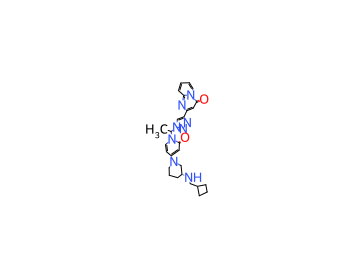 CC(n1cc(-c2cc(=O)n3ccccc3n2)nn1)n1ccc(N2CCC[C@@H](NCC3CCC3)C2)cc1=O